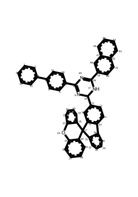 c1ccc(-c2ccc(C3=NC(c4ccc5c(c4)C4(c6ccccc6Oc6ccccc64)c4ccccc4-5)NC(c4ccc5ccccc5c4)=N3)cc2)cc1